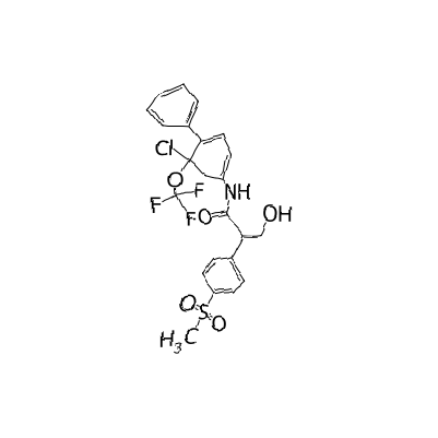 CS(=O)(=O)c1ccc(C(CO)C(=O)NC2=CC=C(c3ccccc3)C(Cl)(OC(F)(F)F)C2)cc1